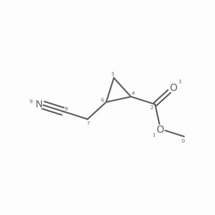 COC(=O)C1CC1CC#N